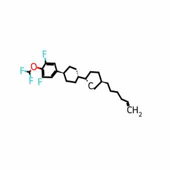 C=CCCCC[C@H]1CC[C@H]([C@H]2CC[C@H](c3cc(F)c(OC(F)F)c(F)c3)CC2)CC1